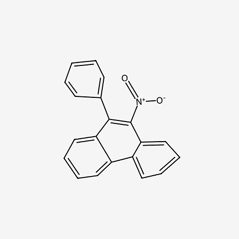 O=[N+]([O-])c1c(-c2ccccc2)c2ccccc2c2ccccc12